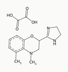 Cc1cccc2c1N(C)CC(C1=NCCN1)O2.O=C(O)C(=O)O